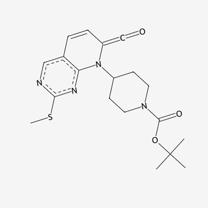 CSc1ncc2c(n1)N(C1CCN(C(=O)OC(C)(C)C)CC1)C(=C=O)C=C2